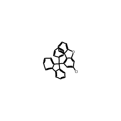 Clc1cc(C2(c3ccccc3)c3ccccc3-c3ccccc32)c2c(c1)oc1ccccc12